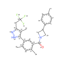 Cc1ccc(C2CN(C(=O)c3cc(-c4[nH]nc(CC(F)(F)F)c4C)c(C)cc3C)C2)cc1